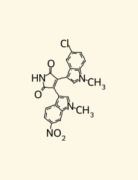 Cn1cc(C2=C(c3cn(C)c4cc([N+](=O)[O-])ccc34)C(=O)NC2=O)c2cc(Cl)ccc21